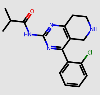 CC(C)C(=O)Nc1nc2c(c(-c3ccccc3Cl)n1)CNCC2